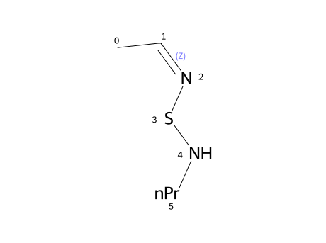 C/C=N\SNCCC